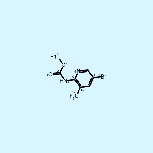 CC(C)(C)OC(=O)Nc1ncc(Br)cc1C(F)(F)F